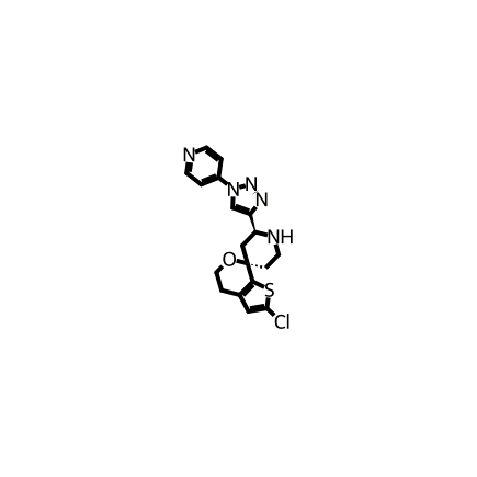 Clc1cc2c(s1)[C@@]1(CCN[C@H](c3cn(-c4ccncc4)nn3)C1)OCC2